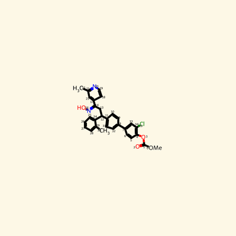 COC(=O)Oc1ccc(-c2ccc(C(CC(=NO)c3ccnc(C)c3)c3ccccc3C)cc2)cc1Cl